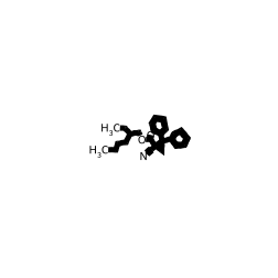 CCCCC(CC)COC(=O)C1(C#N)CC1(c1ccccc1)c1ccccc1